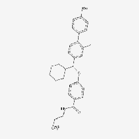 Cc1cc([C@H](Oc2ccc(C(=O)NCCC(=O)O)cc2)C2CCCCC2)ccc1-c1ccc(C(C)(C)C)cc1